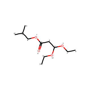 CCOC(CC(=O)OCC(C)C)OCC